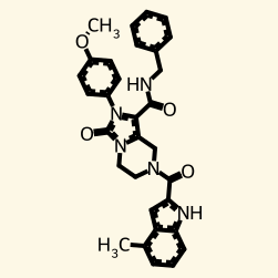 COc1ccc(-n2c(C(=O)NCc3ccccc3)c3n(c2=O)CCN(C(=O)c2cc4c(C)cccc4[nH]2)C3)cc1